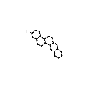 Fc1ccc2c(ccc3c4cc5ccccc5cc4ccc23)c1